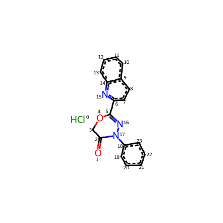 Cl.O=C1COC(c2ccc3ccccc3n2)=NN1c1ccccc1